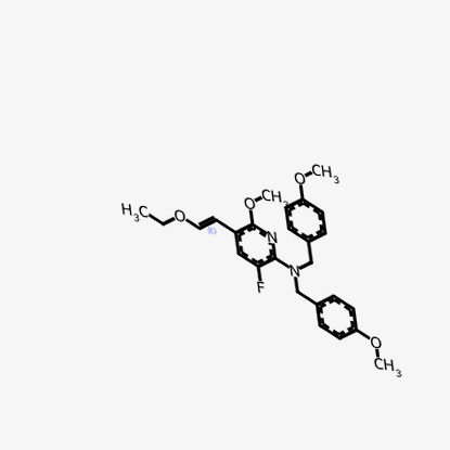 CCO/C=C/c1cc(F)c(N(Cc2ccc(OC)cc2)Cc2ccc(OC)cc2)nc1OC